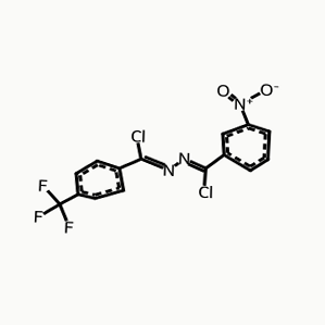 O=[N+]([O-])c1cccc(C(Cl)=NN=C(Cl)c2ccc(C(F)(F)F)cc2)c1